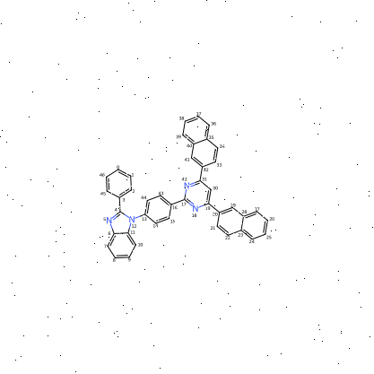 c1ccc(-c2nc3ccccc3n2-c2ccc(-c3nc(-c4ccc5ccccc5c4)cc(-c4ccc5ccccc5c4)n3)cc2)cc1